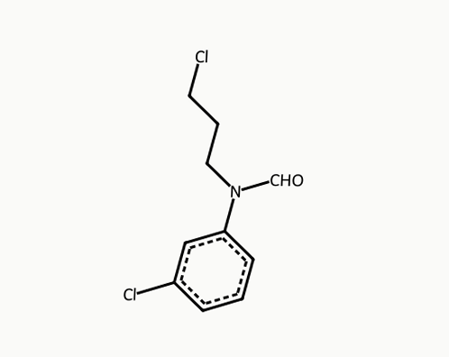 O=CN(CCCCl)c1cccc(Cl)c1